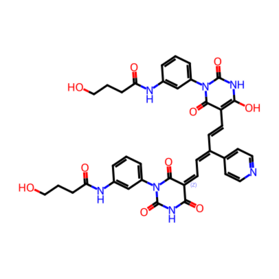 O=C(CCCO)Nc1cccc(N2C(=O)NC(=O)/C(=C/C=C(C=Cc3c(O)[nH]c(=O)n(-c4cccc(NC(=O)CCCO)c4)c3=O)c3ccncc3)C2=O)c1